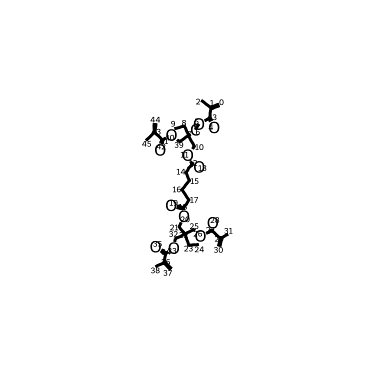 C=C(C)C(=O)OCC(CC)(COC(=O)CCCCC(=O)OCC(CC)(COC(=O)C(=C)C)COC(=O)C(=C)C)COC(=O)C(=C)C